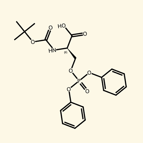 CC(C)(C)OC(=O)N[C@H](COP(=O)(Oc1ccccc1)Oc1ccccc1)C(=O)O